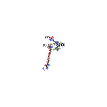 CCCOC(=O)NCCCN(C(=O)CSC[C@H](NC(=O)CCOCCOCCOCCOCCNC(=O)CN)C(=O)O)[C@@H](c1cc(-c2cc(F)ccc2F)cn1Cc1ccccc1)C(C)(C)C